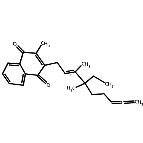 C=C=CCCC(C)(CC)/C(C)=C/CC1=C(C)C(=O)c2ccccc2C1=O